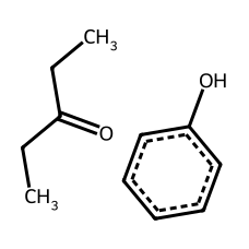 CCC(=O)CC.Oc1ccccc1